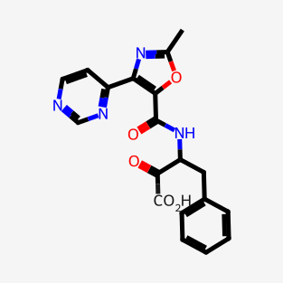 Cc1nc(-c2ccncn2)c(C(=O)NC(Cc2ccccc2)C(=O)C(=O)O)o1